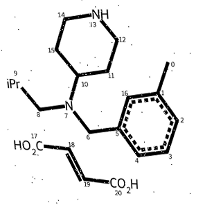 Cc1cccc(CN(CC(C)C)C2CCNCC2)c1.O=C(O)C=CC(=O)O